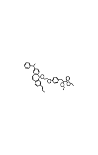 CCCc1ccc2c(c1)C(OCCOc1ccc(CC(OCC)C(=O)OCC)cc1)c1ccc(C(C)c3ccccc3)cc1C=C2